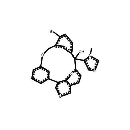 Cn1cncc1C1(O)c2ccc(Br)c(c2)COc2cccc(c2)-c2cncc3ccc1cc23